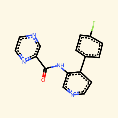 O=C(Nc1cnccc1-c1ccc(F)cc1)c1cnccn1